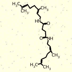 CC(C)=CCCC(C)=CCNC(=O)CCC(=O)NCC=C(C)CCC=C(C)C